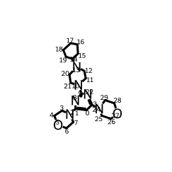 c1c(N2CCOCC2)nc(N2CCN(C3CCCCC3)CC2)nc1N1CCOCC1